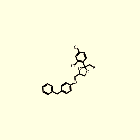 Clc1ccc(C2(CBr)OCC(COc3ccc(Cc4ccccc4)cc3)O2)c(Cl)c1